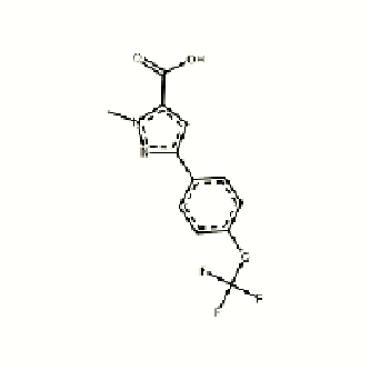 Cn1nc(-c2ccc(OC(F)(F)F)cc2)cc1C(=O)O